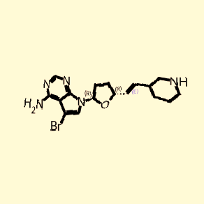 Nc1ncnc2c1c(Br)cn2[C@H]1CC[C@H](/C=C/C2CCCNC2)O1